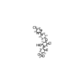 CS(=O)(=O)c1ccc(N2C=C(Cl)C(OC3CCN(c4ncc(Cl)cn4)CC3)=CC2O)c(F)c1